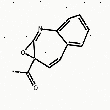 CC(=O)C12C=Cc3ccccc3N=C1O2